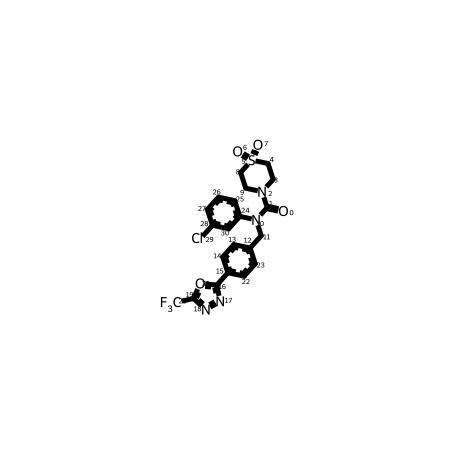 O=C(N1CCS(=O)(=O)CC1)N(Cc1ccc(-c2nnc(C(F)(F)F)o2)cc1)c1cccc(Cl)c1